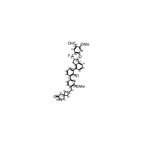 COc1nc(O[C@H]2CCc3c(-c4nccc(-c5ccc(CN6CC7(CNC(=O)C7)C6)c(OC)n5)c4Cl)cccc32)c(C(F)(F)F)cc1C=O